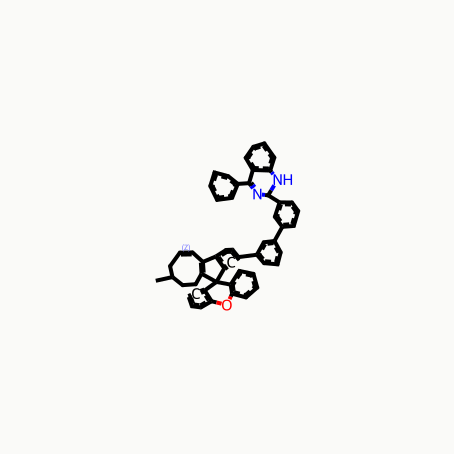 CC1C/C=C\C2=C(CC1)C1(c3ccccc3Oc3ccccc31)c1cc(-c3cccc(-c4cccc(C5N=C(c6ccccc6)c6ccccc6N5)c4)c3)ccc12